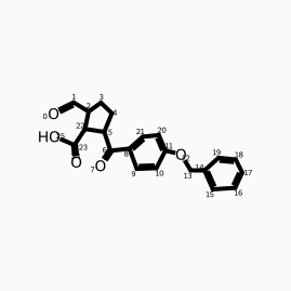 O=CC1CCC(C(=O)c2ccc(OCc3ccccc3)cc2)C1C(=O)O